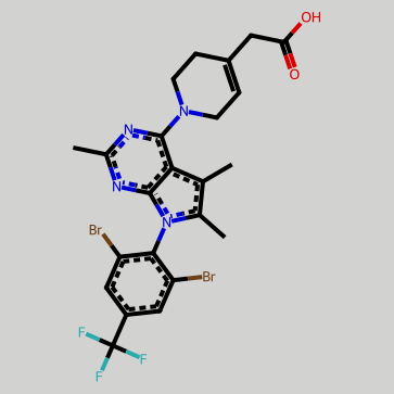 Cc1nc(N2CC=C(CC(=O)O)CC2)c2c(C)c(C)n(-c3c(Br)cc(C(F)(F)F)cc3Br)c2n1